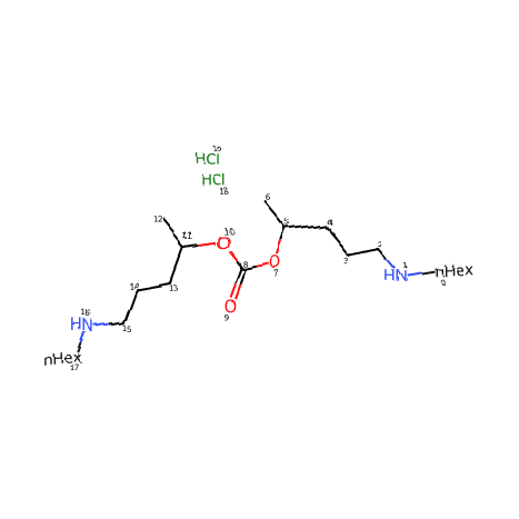 CCCCCCNCCCC(C)OC(=O)OC(C)CCCNCCCCCC.Cl.Cl